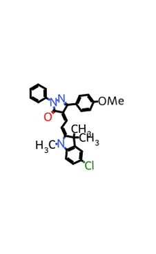 COc1ccc(C2=NN(c3ccccc3)C(=O)/C2=C\C=C2\N(C)c3ccc(Cl)cc3C2(C)C)cc1